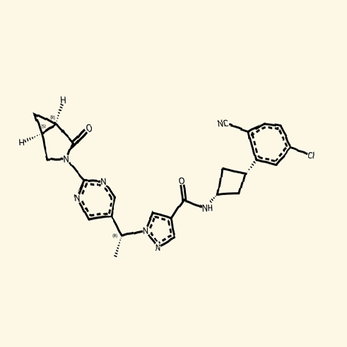 C[C@H](c1cnc(N2C[C@H]3C[C@H]3C2=O)nc1)n1cc(C(=O)N[C@H]2C[C@@H](c3cc(Cl)ccc3C#N)C2)cn1